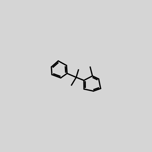 Cc1ccccc1C(C)(C)c1ccccc1